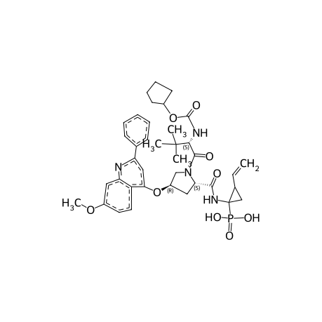 C=CC1CC1(NC(=O)[C@@H]1C[C@@H](Oc2cc(-c3ccccc3)nc3cc(OC)ccc23)CN1C(=O)[C@@H](NC(=O)OC1CCCC1)C(C)(C)C)P(=O)(O)O